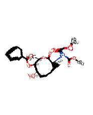 C[C@@H]1OC(=O)[C@@H](N(C(=O)OC(C)(C)C)C(=O)OC(C)(C)C)CCCC[C@H](O)[C@H]1OC(=O)c1ccccc1